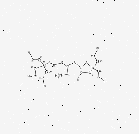 CCO[Si](CCCC(CN)CCC[Si](OCC)(OCC)OCC)(OCC)OCC